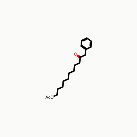 CC(=O)OCCCCCCCCCC(=O)Cc1ccccc1